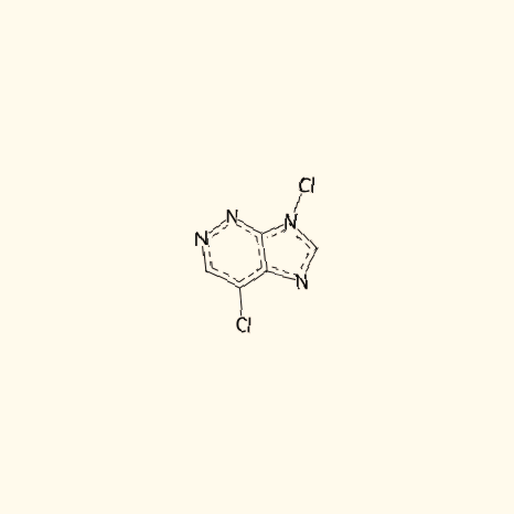 Clc1cnnc2c1ncn2Cl